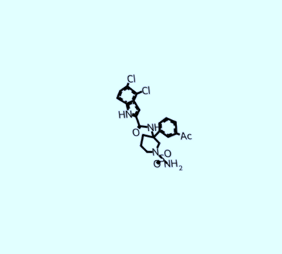 CC(=O)c1cccc(C2(NC(=O)c3cc4c(Cl)c(Cl)ccc4[nH]3)CCCN(S(N)(=O)=O)C2)c1